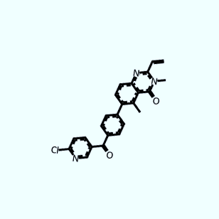 C=Cc1nc2ccc(-c3ccc(C(=O)c4ccc(Cl)nc4)cc3)c(C)c2c(=O)n1C